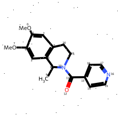 COc1cc2c(cc1OC)C(C)N(C(=O)c1ccncc1)CC2